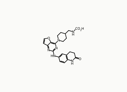 O=C(O)NCC1CCN(c2nc(Nc3ccc4c(c3)CCC(=O)N4)nc3ccoc23)CC1